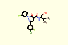 CC(C)C(CO)NC(=O)c1cc(-c2ccc(Cl)c(F)c2)nn(-c2cccc(F)c2)c1=O